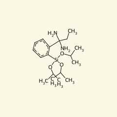 CCC(N)(N)c1ccccc1[Si](OC(C)C)(OC(C)C)OC(C)C